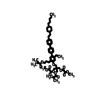 C=C(C)C(=O)OCCCc1cc(-c2ccc(-c3ccc(CCC4CCC(CCCCC)CC4)cc3)cc2)c(CC)cc1OCC(COC(=O)C(=C)C)(COC(=O)C(=O)OC)COC(=O)C(=O)OC